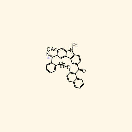 CCOc1ccc2ccccc2c1C(=O)c1ccc2c(c1)c1cc(/C(=N\OC(C)=O)c3ccccc3C)ccc1n2CC